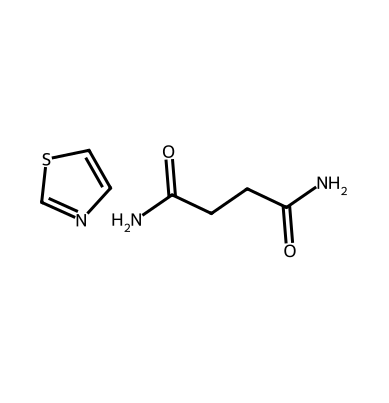 NC(=O)CCC(N)=O.c1cscn1